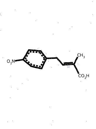 C/C(=C\Cc1ccc([N+](=O)[O-])cc1)C(=O)O